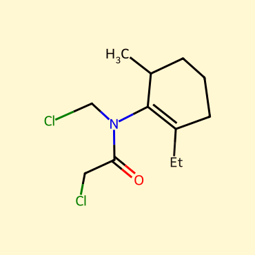 CCC1=C(N(CCl)C(=O)CCl)C(C)CCC1